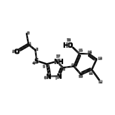 CC(=O)CSc1nnc(-c2cc(C)ccc2O)[nH]1